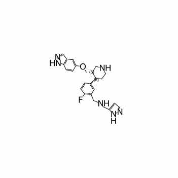 Fc1ccc([C@@H]2CCNC[C@H]2COc2ccc3[nH]ncc3c2)cc1CNCc1ccn[nH]1